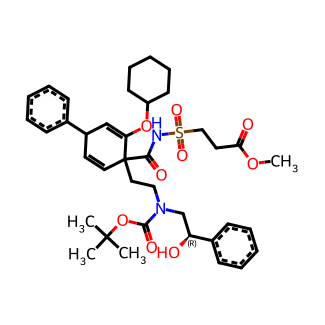 COC(=O)CCS(=O)(=O)NC(=O)C1(CCN(C[C@H](O)c2ccccc2)C(=O)OC(C)(C)C)C=CC(c2ccccc2)C=C1OC1CCCCC1